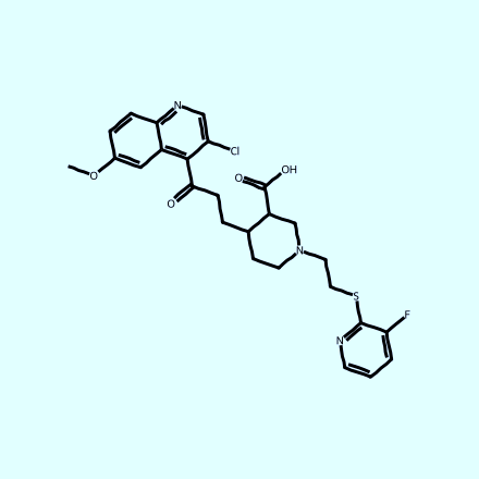 COc1ccc2ncc(Cl)c(C(=O)CCC3CCN(CCSc4ncccc4F)CC3C(=O)O)c2c1